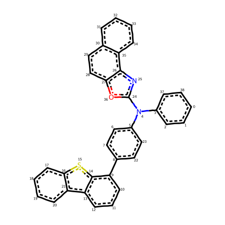 c1ccc(N(c2ccc(-c3cccc4c3sc3ccccc34)cc2)c2nc3c(ccc4ccccc43)o2)cc1